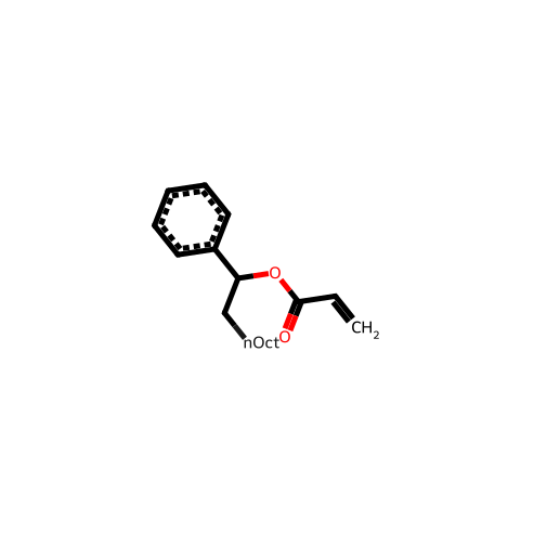 C=CC(=O)OC(CCCCCCCCC)c1ccccc1